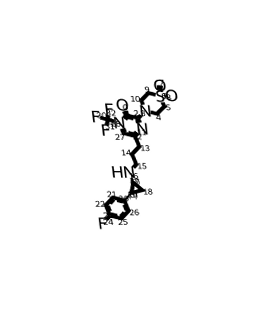 O=c1c(N2CCS(=O)(=O)CC2)nc(CCCN[C@@H]2C[C@H]2c2ccc(F)cc2)cn1C(F)(F)F